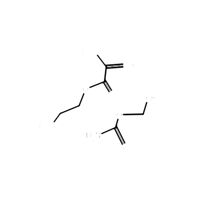 C=C(C)C(=O)OCCC.CCOC(N)=O